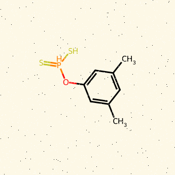 Cc1cc(C)cc(O[PH](=S)S)c1